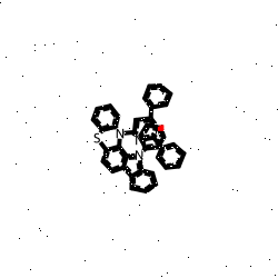 c1ccc(-c2cc(N3c4ccccc4Sc4ccc5c6ccccc6n(-c6ccccc6)c5c43)nc(-c3ccccc3)n2)cc1